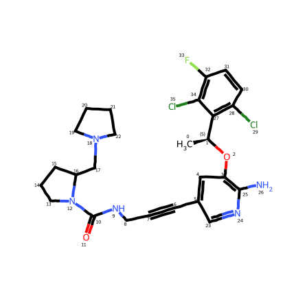 C[C@H](Oc1cc(C#CCNC(=O)N2CCCC2CN2CCCC2)cnc1N)c1c(Cl)ccc(F)c1Cl